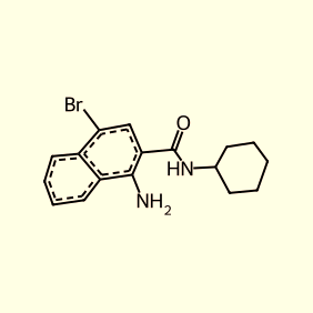 Nc1c(C(=O)NC2CCCCC2)cc(Br)c2ccccc12